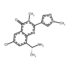 C[C@@H](N)c1cc(Cl)cc2c(=O)n(C)c(-c3cnn(C)c3)nc12